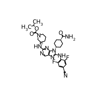 CC(C)OC(=O)N1CCC[C@@H](Nc2ncc3nc(Nc4c(F)cc(C#N)cc4F)n([C@H]4CC[C@H](C(N)=O)CC4)c3n2)C1